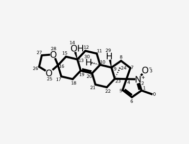 CC1=[N+]([O-])C2(C=C1)CC[C@H]1[C@@H]3CC[C@@]4(O)CC5(CCC4=C3CC[C@@]12C)OCCO5